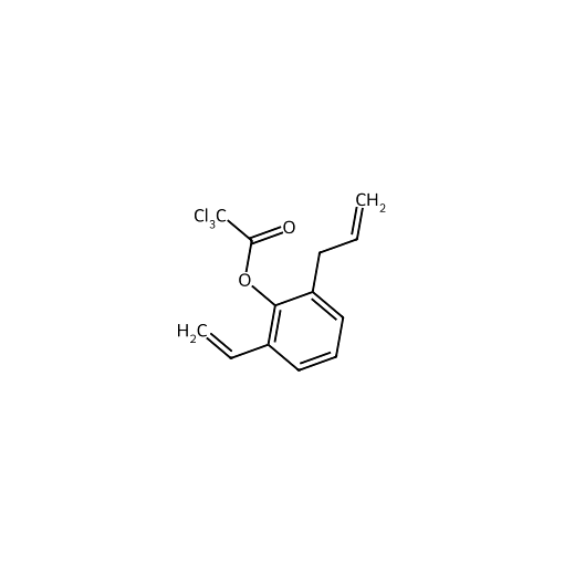 C=CCc1cccc(C=C)c1OC(=O)C(Cl)(Cl)Cl